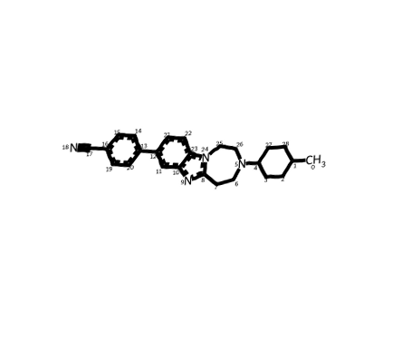 CC1CCC(N2CCc3nc4cc(-c5ccc(C#N)cc5)ccc4n3CC2)CC1